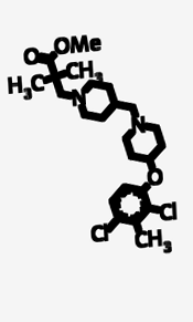 COC(=O)C(C)(C)CN1CCC(CN2CCC(Oc3ccc(Cl)c(C)c3Cl)CC2)CC1